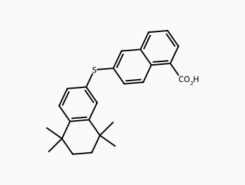 CC1(C)CCC(C)(C)c2cc(Sc3ccc4c(C(=O)O)cccc4c3)ccc21